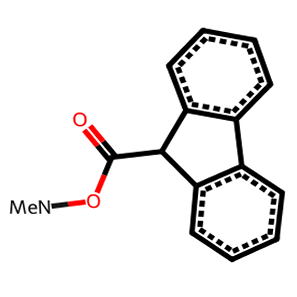 CNOC(=O)C1c2ccccc2-c2ccccc21